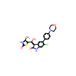 Cc1[nH]c(=O)sc1C(O)=C1C(=O)Nc2cc(Cl)c(-c3ccc(N4CCOCC4)cc3)cc21